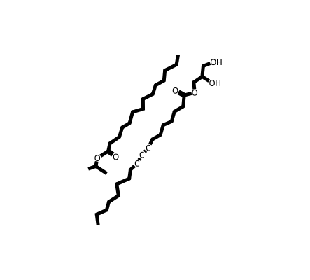 CCCCCCCCCCCCCC(=O)OC(C)C.CCCCCCCCCCCCCCCCCC(=O)OCC(O)CO